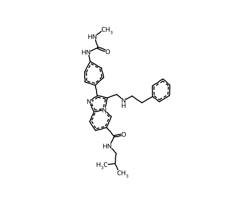 CNC(=O)Nc1ccc(-c2nc3ccc(C(=O)NCC(C)C)cn3c2CNCCc2ccccc2)cc1